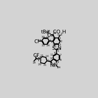 Cc1cc2nc(-c3ccc4c(c3)c(C3CCN(C(C)C(F)(F)F)CC3)nn4C)sc2c(-c2ccc(Cl)cc2)c1[C@H](OC(C)(C)C)C(=O)O